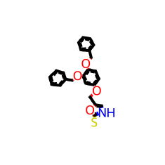 S=c1[nH]cc(COc2ccc(OCc3ccccc3)c(OCc3ccccc3)c2)o1